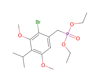 CCOP(=O)(Cc1cc(OC)c(C(C)C)c(OC)c1Br)OCC